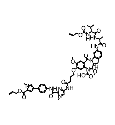 C=CCOC(=O)NC(C(=O)NC(C)C(=O)Nc1ccc2c(c1)N1C(=O)c3cc(OC)c(OCCCC(=O)Nc4cn(C)c(C(=O)Nc5ccc(-c6cc(C(=O)OCC=C)n(C)c6)cc5)n4)cc3N(C(=O)O)[C@@H](OC)[C@@H]1C2)C(C)C